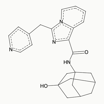 O=C(NC12CC3CC(CC(O)(C3)C1)C2)c1nc(Cc2ccncc2)n2ccccc12